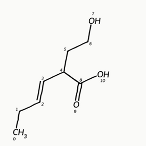 CCC=CC(CCO)C(=O)O